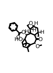 CO[C@H]1C(=O)[C@]23C[C@H]2C[C@H]2OC[C@H]2[C@H]3[C@H](OC(=O)c2ccccc2)[C@]2(O)CCC(C)=C1C2(C)C